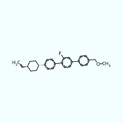 C=C[C@H]1CC[C@H](c2ccc(-c3ccc(-c4ccc(COC)cc4)cc3F)cc2)CC1